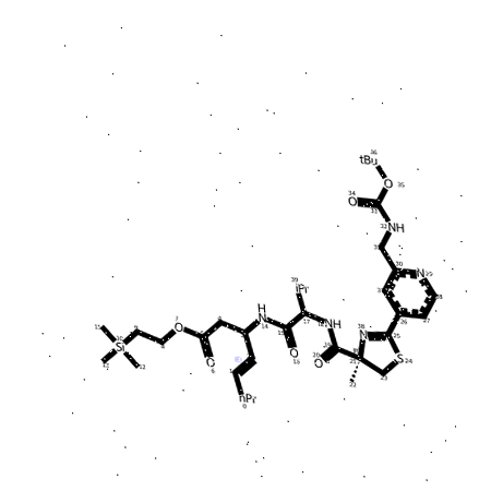 CCC/C=C/C(CC(=O)OCC[Si](C)(C)C)NC(=O)C(NC(=O)[C@]1(C)CSC(c2ccnc(CNC(=O)OC(C)(C)C)c2)=N1)C(C)C